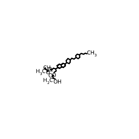 C=C(C)C(=O)OCCC(CCOC(=O)C(=C)CO)c1ccc2cc(C3CCC(CCC4CCC(CCCCC)CC4)CC3)ccc2c1